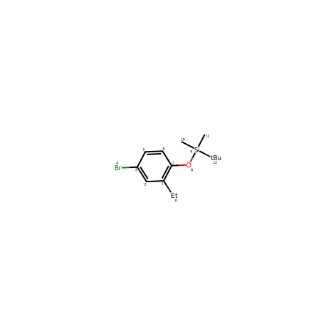 CCc1cc(Br)ccc1O[Si](C)(C)C(C)(C)C